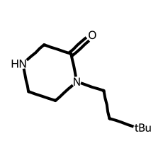 CC(C)(C)CCN1CCNCC1=O